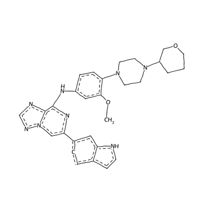 COc1cc(Nc2nc(-c3ccc4cc[nH]c4c3)cn3ncnc23)ccc1N1CCN(C2CCCOC2)CC1